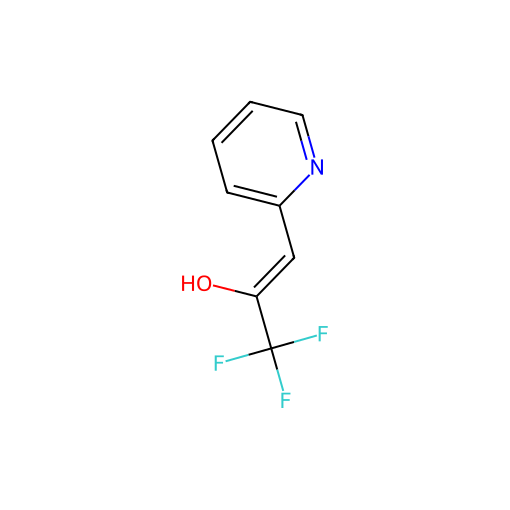 OC(=Cc1ccccn1)C(F)(F)F